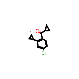 C[C@H]1CC1c1cc(Cl)ccc1C(=O)C1CC1